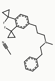 CC#N.CN(CCCc1ccc(C2(F)CC2)c(C2(F)CC2)c1)CCc1ccccc1